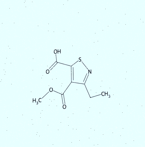 CCc1nsc(C(=O)O)c1C(=O)OC